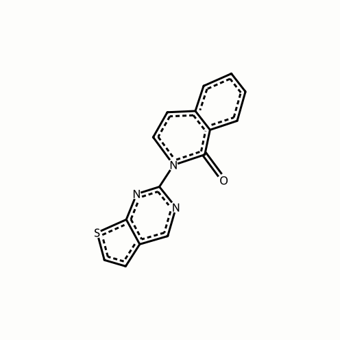 O=c1c2ccccc2ccn1-c1ncc2ccsc2n1